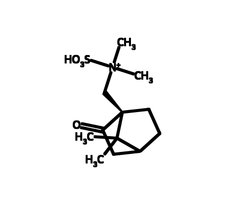 CC1(C)C2CC[C@@]1(C[N+](C)(C)S(=O)(=O)O)C(=O)C2